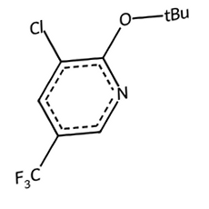 CC(C)(C)Oc1ncc(C(F)(F)F)cc1Cl